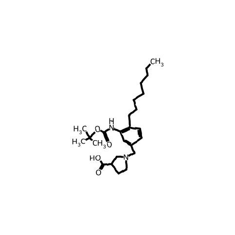 CCCCCCCCc1ccc(CN2CCC(C(=O)O)C2)cc1NC(=O)OC(C)(C)C